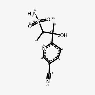 CC(C(C)(O)c1ccc(C#N)cn1)S(N)(=O)=O